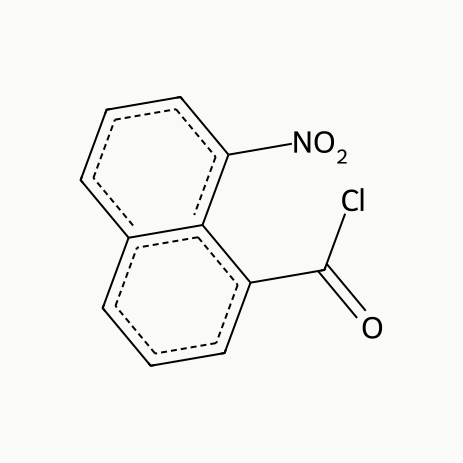 O=C(Cl)c1cccc2cccc([N+](=O)[O-])c12